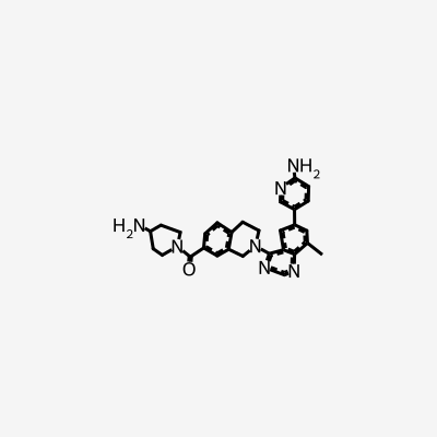 Cc1cc(-c2ccc(N)nc2)cc2c(N3CCc4ccc(C(=O)N5CCC(N)CC5)cc4C3)ncnc12